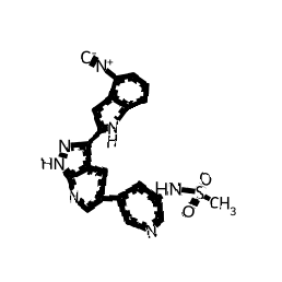 [C-]#[N+]c1cccc2[nH]c(-c3n[nH]c4ncc(-c5cncc(NS(C)(=O)=O)c5)cc34)cc12